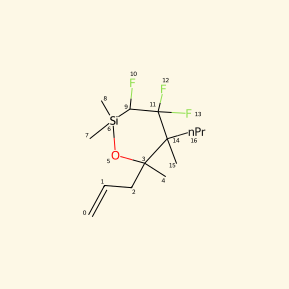 C=CCC1(C)O[Si](C)(C)C(F)C(F)(F)C1(C)CCC